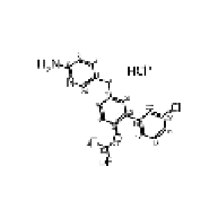 Cl.Nc1ccc(Cc2ccc(OC(F)F)c(-c3cccc(Cl)c3)c2)cn1